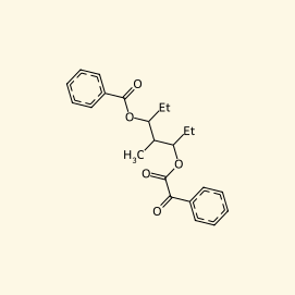 CCC(OC(=O)C(=O)c1ccccc1)C(C)C(CC)OC(=O)c1ccccc1